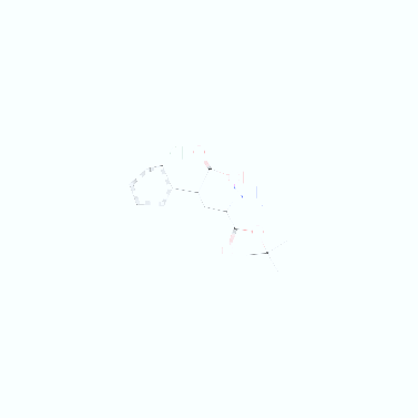 CC(C)(C)OC(=O)C(N)CC(C(=O)O)c1ccccc1Cl